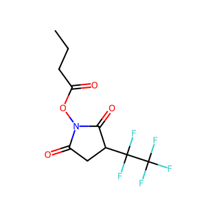 CCCC(=O)ON1C(=O)CC(C(F)(F)C(F)(F)F)C1=O